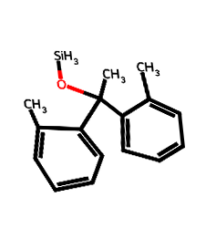 Cc1ccccc1C(C)(O[SiH3])c1ccccc1C